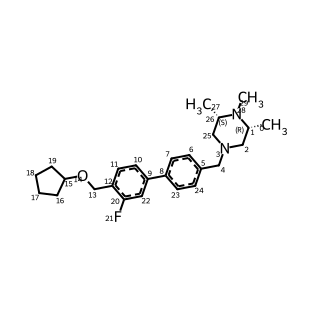 C[C@@H]1CN(Cc2ccc(-c3ccc(COC4CCCC4)c(F)c3)cc2)C[C@H](C)N1C